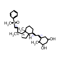 C=C1/C(=C\C=C2/CCC[C@]3(C)[C@@H]([C@@H](C)/C=C/S(=C)(=O)c4ccccc4)CC[C@@H]23)C[C@@H](O)C[C@@H]1O